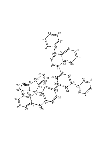 c1ccc(-c2cc(-c3ccc(-c4ccccc4)c4ccccc34)nc(-c3ccc4c(c3)C3(c5ccccc5S4)c4ccccc4-c4ccccc43)n2)cc1